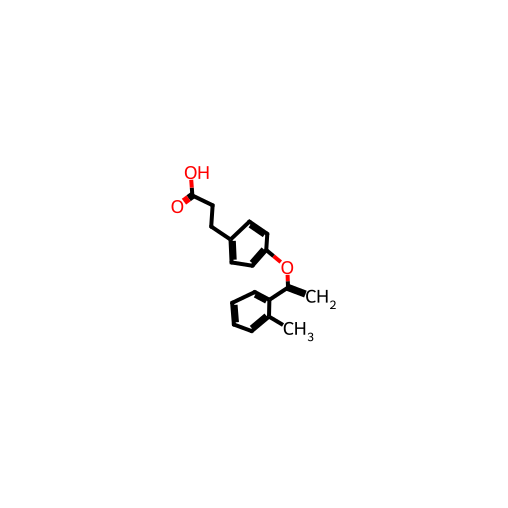 C=C(Oc1ccc(CCC(=O)O)cc1)c1ccccc1C